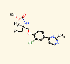 Cc1nccc(-c2ccc(OCC(C)(CC(C)C)NC(=O)OC(C)(C)C)c(Cl)c2)n1